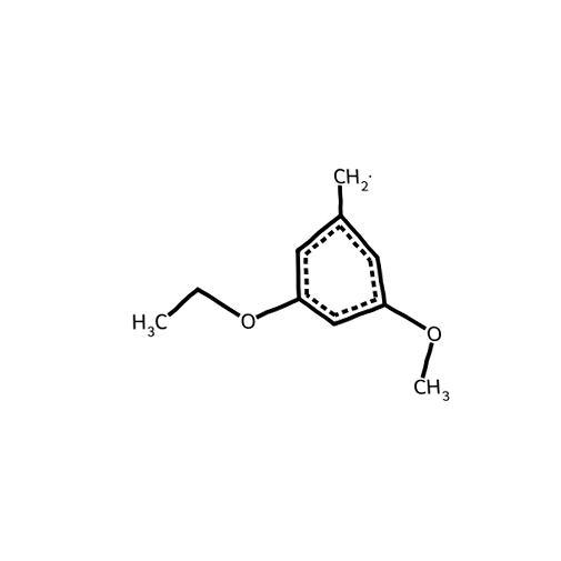 [CH2]c1cc(OC)cc(OCC)c1